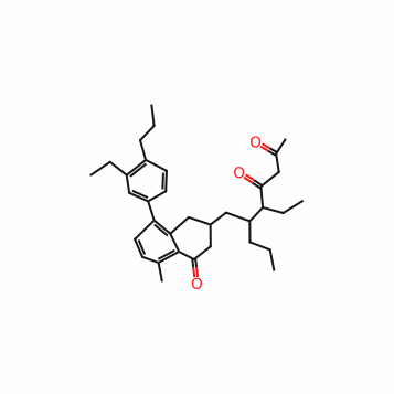 CCCc1ccc(-c2ccc(C)c3c2CC(CC(CCC)C(CC)C(=O)CC(C)=O)CC3=O)cc1CC